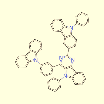 c1ccc(-n2c3ccccc3c3cc(-c4nc(-c5cccc(-n6c7ccccc7c7ccccc76)c5)c5c(n4)c4ccccc4n5-c4ccccc4)ccc32)cc1